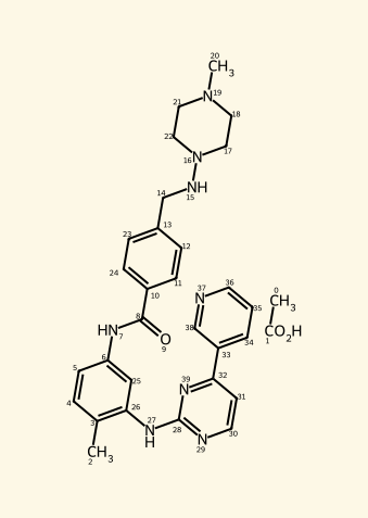 CC(=O)O.Cc1ccc(NC(=O)c2ccc(CNN3CCN(C)CC3)cc2)cc1Nc1nccc(-c2cccnc2)n1